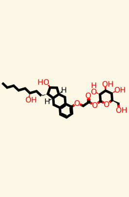 CCCCC[C@@H](O)CC[C@H]1[C@@H]2Cc3cccc(OCC(=O)OC4O[C@H](CO)[C@@H](O)[C@H](O)[C@H]4O)c3C[C@@H]2C[C@@H]1O